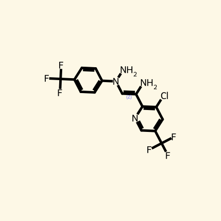 N/C(=C\N(N)c1ccc(C(F)(F)F)cc1)c1ncc(C(F)(F)F)cc1Cl